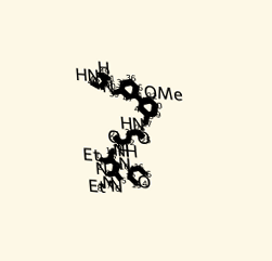 CCc1nc2c(cnn2CC)c(NC2CCOCC2)c1CNC(=O)CCC(=O)NCc1ccc(OC)c(-c2cccc(CN3C[C@@H]4CC3CN4)c2)c1